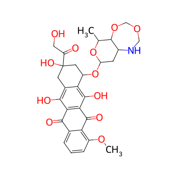 COc1cccc2c1C(=O)c1c(O)c3c(c(O)c1C2=O)CC(O)(C(=O)CO)CC3OC1CC2NCOCOC2C(C)O1